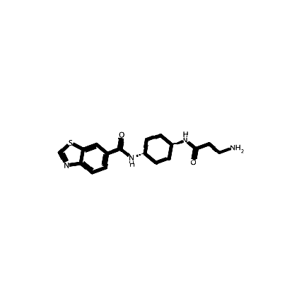 NCCC(=O)N[C@H]1CC[C@H](NC(=O)c2ccc3ncsc3c2)CC1